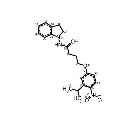 CC(O)c1cc(OCCCC(=O)NN2CCc3ccccc32)ccc1[N+](=O)[O-]